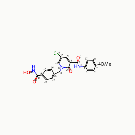 COc1ccc(NC(=O)c2cc(Cl)cn(Cc3ccc(C(=O)NO)cc3)c2=O)cc1